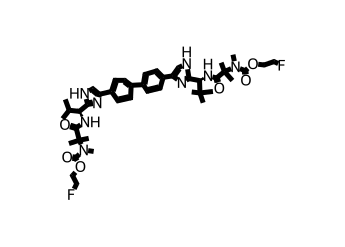 CC(C)[C@H](NC(=O)C(C)(C)N(C)C(=O)OCCF)c1nc(-c2ccc(-c3ccc(-c4c[nH]c([C@@H](NC(=O)C(C)(C)N(C)C(=O)OCCF)C(C)(C)C)n4)cc3)cc2)c[nH]1